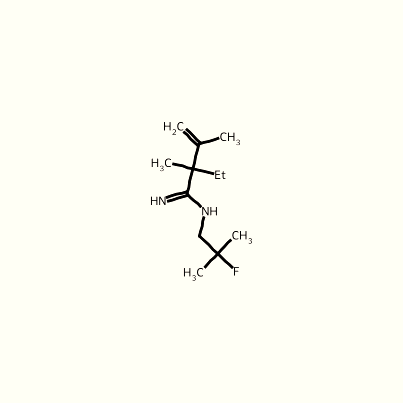 C=C(C)C(C)(CC)C(=N)NCC(C)(C)F